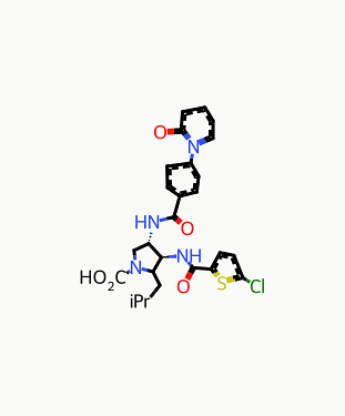 CC(C)CC1[C@H](NC(=O)c2ccc(Cl)s2)[C@@H](NC(=O)c2ccc(-n3ccccc3=O)cc2)CN1C(=O)O